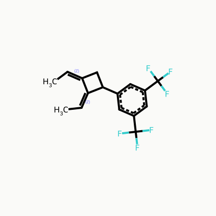 C/C=C1/CC(c2cc(C(F)(F)F)cc(C(F)(F)F)c2)/C1=C/C